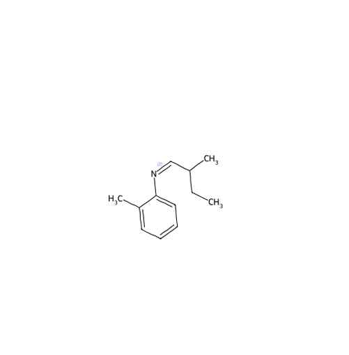 CCC(C)/C=N\c1ccccc1C